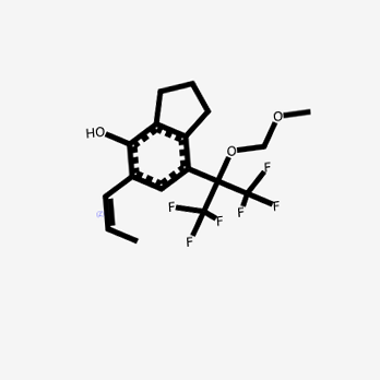 C/C=C\c1cc(C(OCOC)(C(F)(F)F)C(F)(F)F)c2c(c1O)CCC2